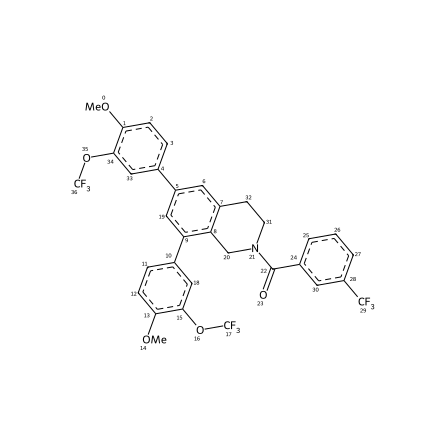 COc1ccc(-c2cc3c(c(-c4ccc(OC)c(OC(F)(F)F)c4)c2)CN(C(=O)c2cccc(C(F)(F)F)c2)CC3)cc1OC(F)(F)F